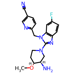 CO[C@@H]1CCN(c2nc3ccc(F)cc3n2Cc2ccc(C#N)cn2)C[C@H]1N